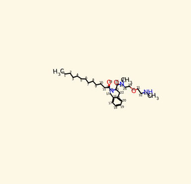 CCCCCCCCCCCCC(=O)N1Cc2ccccc2CC1C(=O)N(C)CCOCCNC